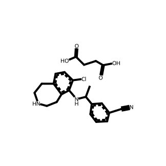 CC(Nc1c(Cl)ccc2c1CCNCC2)c1cccc(C#N)c1.O=C(O)CCC(=O)O